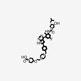 Cc1c(NC(=O)N2C[C@H](CC(C)C)[C@@H](O)C2)cc(F)cc1-c1ncnc2[nH]c(-c3ccc(CN4CCN(CCOC5CCN(C(=O)O)CC5)CC4)cc3)cc12